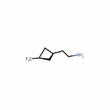 NCCC12CC(C(F)(F)F)(C1)C2